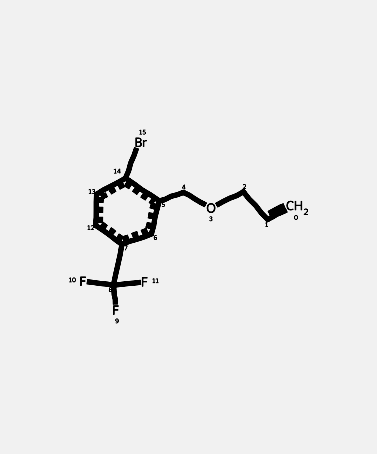 C=CCOCc1cc(C(F)(F)F)ccc1Br